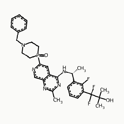 Cc1nc(N[C@H](C)c2cccc(C(F)(F)C(C)(C)O)c2F)c2cc(P3(=O)CCN(Cc4ccccc4)CC3)ncc2n1